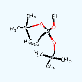 CCO[Si](OC)(O[Si](C)(C)C)O[Si](C)(C)C